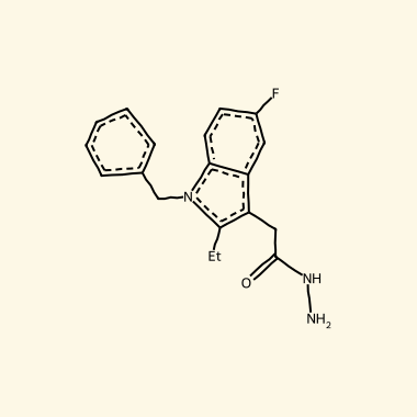 CCc1c(CC(=O)NN)c2cc(F)ccc2n1Cc1ccccc1